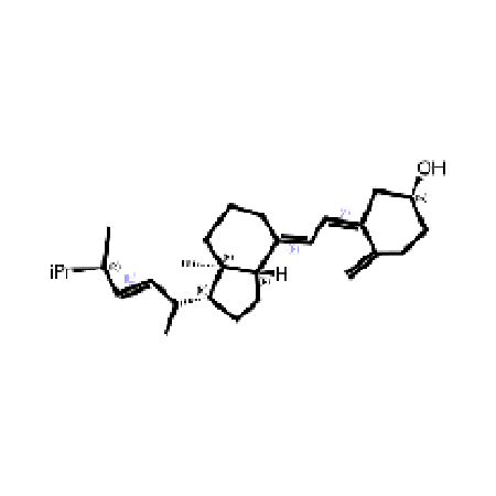 C=C1CC[C@H](O)C/C1=C/C=C1\CCC[C@]2(C)[C@@H](C(C)/C=C/[C@H](C)C(C)C)CC[C@@H]12